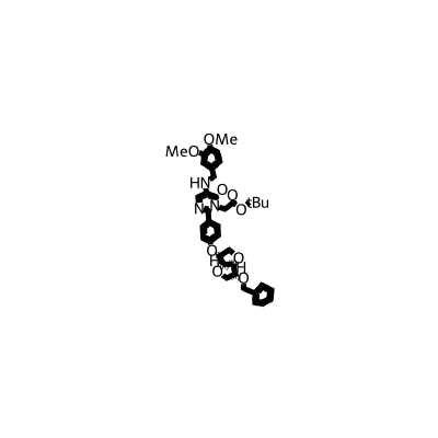 COc1ccc(CNc2cnc(-c3ccc(O[C@@H]4CO[C@H]5[C@@H]4OC[C@H]5OCc4ccccc4)cc3)n(CC(=O)OC(C)(C)C)c2=O)cc1OC